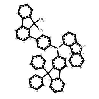 CC1(C)c2ccccc2-c2cccc(-c3ccc(N(c4ccc5c(c4)C(c4ccccc4)(c4ccccc4)c4ccccc4-5)c4cccc5oc6ccccc6c45)cc3)c21